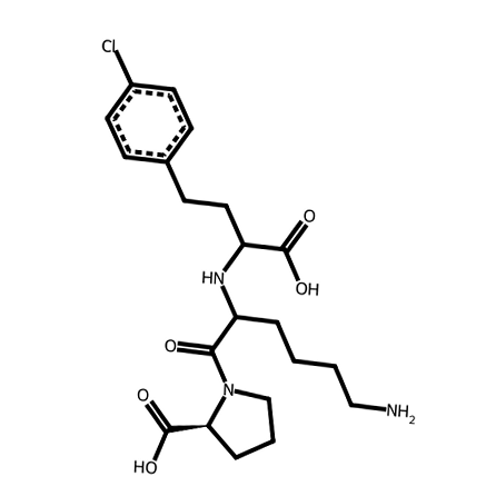 NCCCCC(NC(CCc1ccc(Cl)cc1)C(=O)O)C(=O)N1CCC[C@H]1C(=O)O